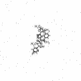 COc1cccc(OC)c1-n1c(NS(=O)(=O)[C@H](C)[C@H](O)c2ccc(F)cn2)nnc1-c1ccc(C)o1